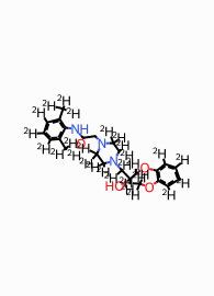 [2H]c1c([2H])c([2H])c(OC([2H])([2H])C([2H])(O)C([2H])([2H])N2C([2H])([2H])C([2H])([2H])N(CC(=O)Nc3c(C([2H])([2H])[2H])c([2H])c([2H])c([2H])c3C([2H])([2H])[2H])C([2H])([2H])C2([2H])[2H])c(OC([2H])([2H])[2H])c1[2H]